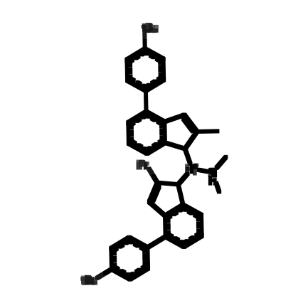 CC1=Cc2c(-c3ccc(C(C)(C)C)cc3)cccc2[CH]1[Hf]([CH]1C(C(C)C)=Cc2c(-c3ccc(C(C)(C)C)cc3)cccc21)[SiH](C)C